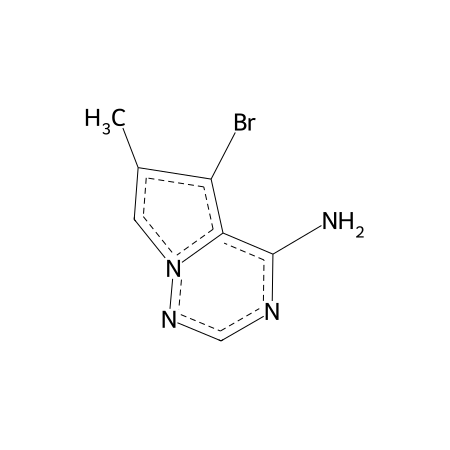 Cc1cn2ncnc(N)c2c1Br